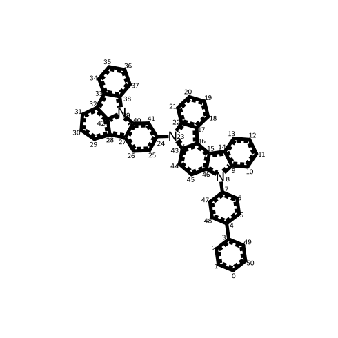 c1ccc(-c2ccc(-n3c4ccccc4c4c5c6ccccc6n(-c6ccc7c8cccc9c%10ccccc%10n(c7c6)c98)c5ccc43)cc2)cc1